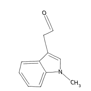 Cn1cc(CC=O)c2ccccc21